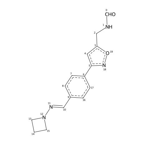 O=CNCc1cc(-c2ccc(C=NN3CCC3)cc2)no1